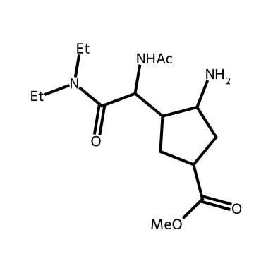 CCN(CC)C(=O)C(NC(C)=O)C1CC(C(=O)OC)CC1N